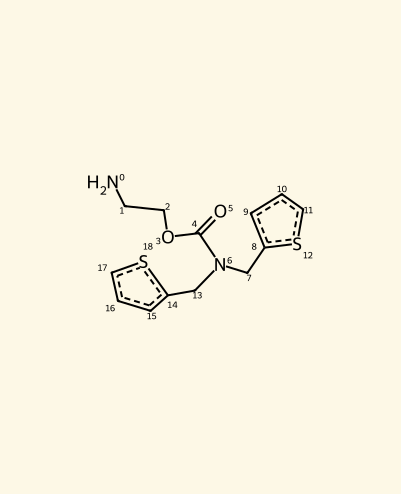 NCCOC(=O)N(Cc1cccs1)Cc1cccs1